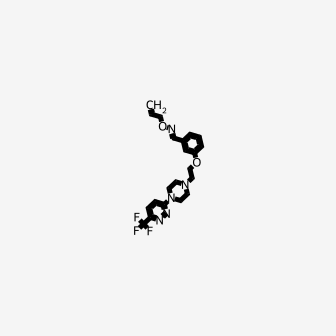 C=CCON=Cc1cccc(OCCN2CCN(c3ccc(C(F)(F)F)nn3)CC2)c1